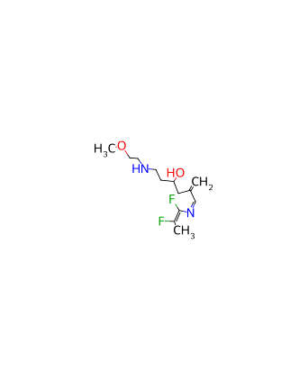 C=C(/C=N\C(F)=C(/C)F)CC(O)CCNCCOC